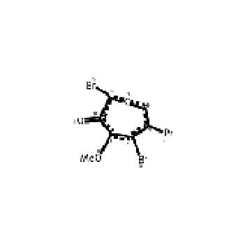 COc1c(Br)c(C(C)C)ccc(Br)c1=O